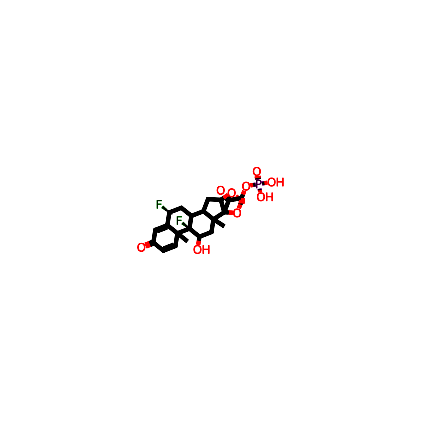 CC12CC(O)[C@@]3(F)C(C[C@H](F)C4=CC(=O)C=CC43C)C1CC1OCOC12C(=O)COP(=O)(O)O